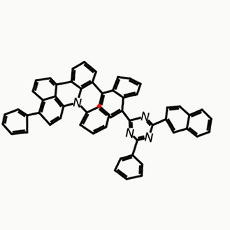 c1ccc(-c2nc(-c3ccc4ccccc4c3)nc(-c3ccc(-c4cccc5c4N(c4ccccc4)c4ccc(-c6ccccc6)c6cccc-5c46)c4ccccc34)n2)cc1